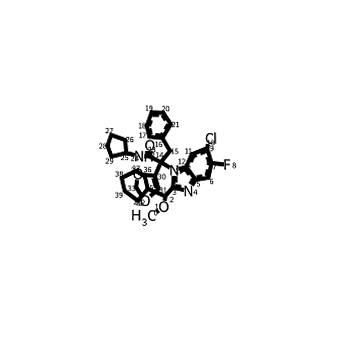 COC(c1nc2cc(F)c(Cl)cc2n1C(Cc1ccccc1)(C(=O)NC1CCCC1)C1=COCO1)C1CCCCC1